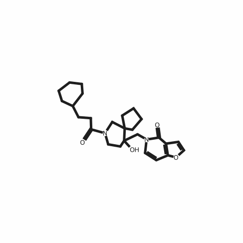 O=C(CCC1CCCCC1)N1CCC(O)(Cn2ccc3occc3c2=O)C2(CCCC2)C1